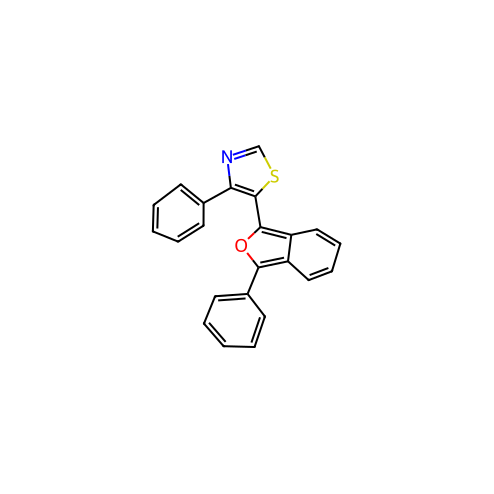 c1ccc(-c2ncsc2-c2oc(-c3ccccc3)c3ccccc23)cc1